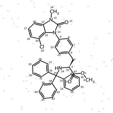 COC(=O)[C@H](Cc1ccc(-n2c(=O)n(C)c3cccc(Cl)c32)cc1)NC(c1ccccc1)(c1ccccc1)c1ccccc1